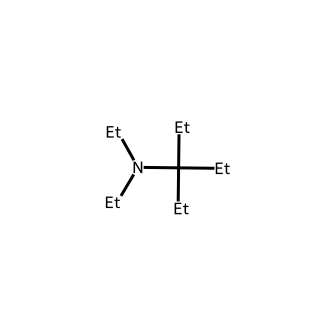 [CH2]CC(CC)(CC)N(CC)CC